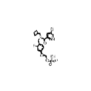 O=C(c1cc(Cl)n[nH]1)N(Cc1ccc(OCOP(=O)(O)O)cc1F)CC1CCC1